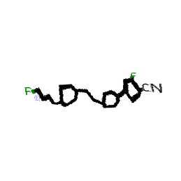 N#Cc1ccc(C2CCC(CCC3CCC(CC/C=C/F)CC3)CC2)cc1F